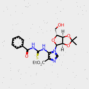 CCOC(=O)c1ncn(C2O[C@H](CO)[C@H]3OC(C)(C)O[C@@H]23)c1NC(=S)NC(=O)c1ccccc1